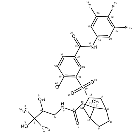 CC(C)(O)C(O)CNC(=O)C[C@]1(O)C2CCC1C[C@@H](S(=O)(=O)c1cc(C(=O)Nc3cc(F)c(F)c(F)c3)ccc1Cl)C2